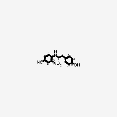 N#Cc1ccc(NCCc2ccc(O)cc2)c([N+](=O)[O-])c1